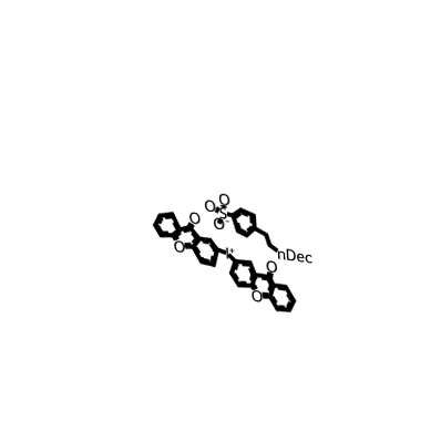 CCCCCCCCCCCCc1ccc(S(=O)(=O)[O-])cc1.O=c1c2ccccc2oc2ccc([I+]c3ccc4oc5ccccc5c(=O)c4c3)cc12